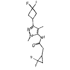 Cc1c(C2CC(F)(F)C2)nn(C)c1NC(=O)CC1CC1(F)F